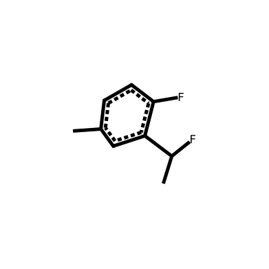 Cc1ccc(F)c(C(C)F)c1